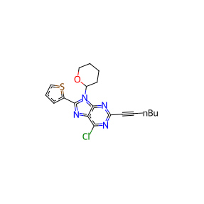 CCCCC#Cc1nc(Cl)c2nc(-c3cccs3)n(C3CCCCO3)c2n1